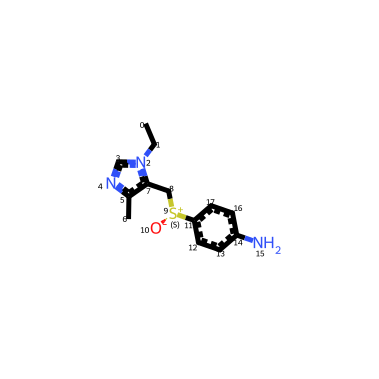 CCn1cnc(C)c1C[S@@+]([O-])c1ccc(N)cc1